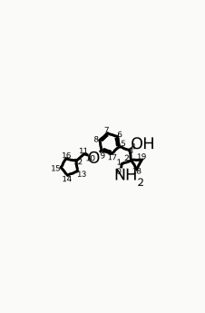 NCC1([C@@H](O)c2cccc(OCC3CCCC3)c2)CC1